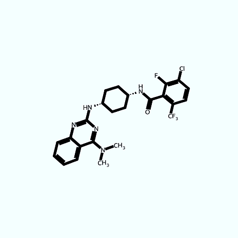 CN(C)c1nc(N[C@H]2CC[C@@H](NC(=O)c3c(C(F)(F)F)ccc(Cl)c3F)CC2)nc2ccccc12